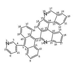 c1cncc(-c2c3ccccc3c(-c3nc4ccccc4c4c3ccc3ncc5ccccc5c34)c3ccccc23)c1